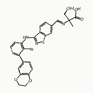 CC(CO)(N=Cc1ccc2c(Nc3cccc(-c4ccc5c(c4)OCCO5)c3Br)nsc2c1)C(=O)O